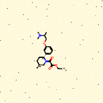 CC(COc1cccc([C@H]2CC[C@H](C)CN2C(=O)C(=O)OCC(F)(F)F)c1)N(C)C